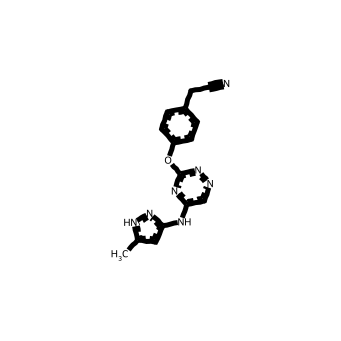 Cc1cc(Nc2cnnc(Oc3ccc(CC#N)cc3)n2)n[nH]1